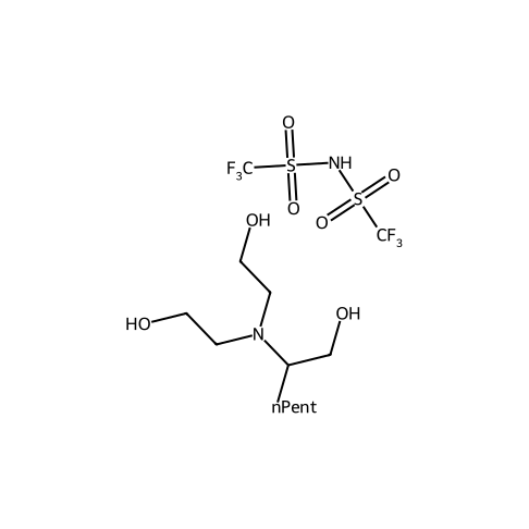 CCCCCC(CO)N(CCO)CCO.O=S(=O)(NS(=O)(=O)C(F)(F)F)C(F)(F)F